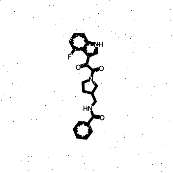 O=C(NCC1CCN(C(=O)C(=O)c2c[nH]c3cccc(F)c23)C1)c1ccccc1